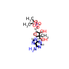 CCOP(=O)(OCC)OC[C@H]1O[C@@H](n2cnc3c(N)ncnc32)[C@](C)(CO)[C@@H]1O